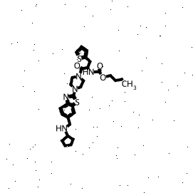 CCCCOC(=O)NC(Cc1cccs1)C(=O)N1CCN(c2nc3ccc(CNC4CCCC4)cc3s2)CC1